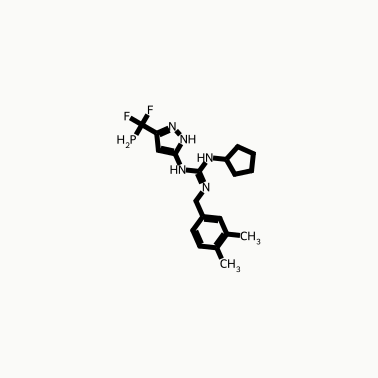 Cc1ccc(CN=C(Nc2cc(C(F)(F)P)n[nH]2)NC2CCCC2)cc1C